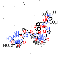 CC[C@H](C)[C@H](NC(=O)[C@@H]1CCCN1C(=O)[C@H](CC(=O)O)NC(=O)[C@H](Cc1ccc(O)cc1)NC(=O)CNC(=O)[C@@H]1CCCN1C(=O)CNC(=O)[C@H](CC(=O)O)NC(=O)[C@H](CC(C)C)NC(=O)[C@H](CC(C)C)NC(=O)[C@H](Cc1ccc(O)cc1)NC(=O)[C@@H](NC(=O)[C@H](CC(C)C)NC(=O)[C@H](CCCNC(=N)N)NC(=O)CNC(=O)[C@H](CC(C)C)NC(=O)[C@H](CCC(=O)O)NC(=O)CN)C(C)C)C(=O)O